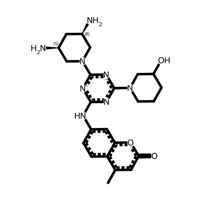 Cc1cc(=O)oc2cc(Nc3nc(N4CCCC(O)C4)nc(N4C[C@H](N)C[C@H](N)C4)n3)ccc12